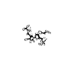 CSCOC1CC(n2cc(CNC(=O)C(F)(F)F)c(=O)[nH]c2=O)OC1CO[Si](C)(C)C(C)(C)C